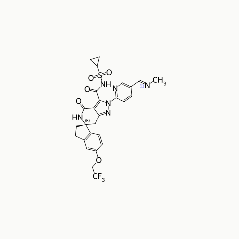 C/N=C/c1ccc(-n2nc3c(c2C(=O)NS(=O)(=O)C2CC2)C(=O)N[C@]2(CCc4cc(OCC(F)(F)F)ccc42)C3)nc1